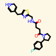 O=C(CCC(=O)N1CCCC1c1ccc(F)cc1)NCc1nc(CC2=CCNC=C2)cs1